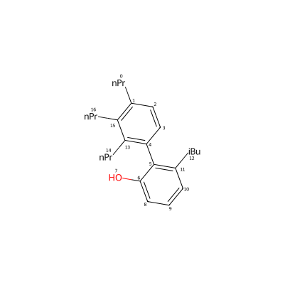 CCCc1ccc(-c2c(O)cccc2C(C)CC)c(CCC)c1CCC